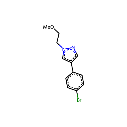 COCCn1cc(-c2ccc(Br)cc2)cn1